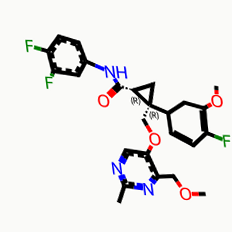 COCc1nc(C)ncc1OC[C@@]1(C2C=CC(F)=C(OC)C2)C[C@H]1C(=O)Nc1ccc(F)c(F)c1